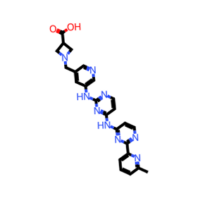 Cc1cccc(-c2nccc(Nc3ccnc(Nc4cncc(CN5CC(C(=O)O)C5)c4)n3)n2)n1